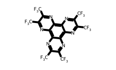 FC(F)(F)c1nc2c3nc(C(F)(F)F)c(C(F)(F)F)nc3c3nc(C(F)(F)F)c(C(F)(F)F)nc3c2nc1C(F)(F)F